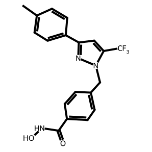 Cc1ccc(-c2cc(C(F)(F)F)n(Cc3ccc(C(=O)NO)cc3)n2)cc1